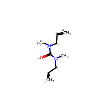 C=CCN(C)C(=O)N(C)CC=C